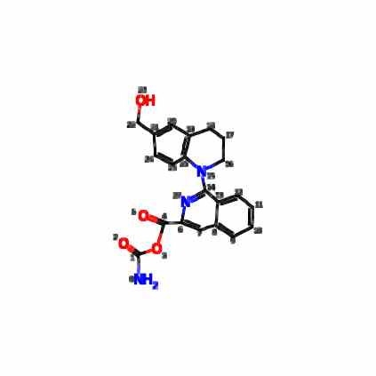 NC(=O)OC(=O)c1cc2ccccc2c(N2CCCc3cc(CO)ccc32)n1